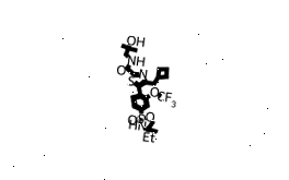 CCC(C)(C)NS(=O)(=O)c1ccc(-c2sc(C(=O)NCC(C)(C)O)nc2CC2CCC2)c(OC(F)(F)F)c1